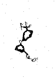 ON=Cc1cccc(Oc2cccc(C(F)(F)F)c2)c1